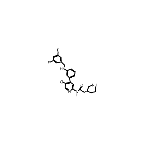 O=C(C[C@@H]1CCCNC1)Nc1cc(-c2cccc(NCc3cc(F)cc(F)c3)c2)c(Cl)cn1